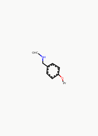 CC(C)Oc1ccc(CN[C]=O)cc1